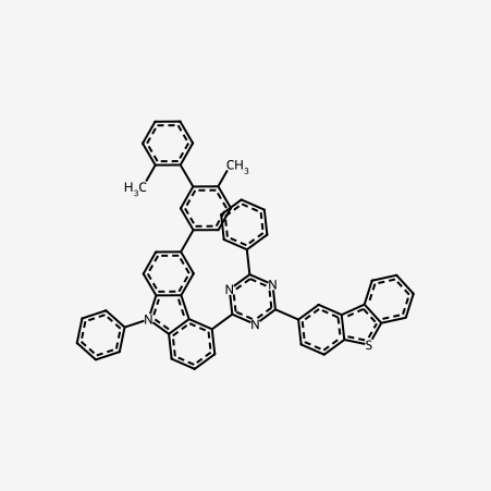 Cc1ccccc1-c1cc(-c2ccc3c(c2)c2c(-c4nc(-c5ccccc5)nc(-c5ccc6sc7ccccc7c6c5)n4)cccc2n3-c2ccccc2)ccc1C